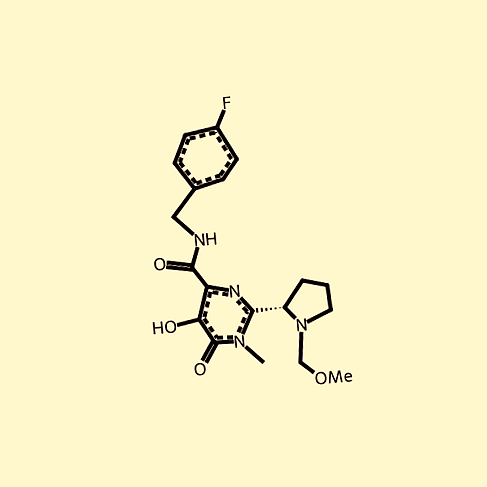 COCN1CCC[C@H]1c1nc(C(=O)NCc2ccc(F)cc2)c(O)c(=O)n1C